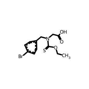 CCOC(=S)N(CC(=O)O)Cc1ccc(Br)cc1